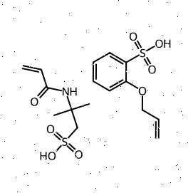 C=CC(=O)NC(C)(C)CS(=O)(=O)O.C=CCOc1ccccc1S(=O)(=O)O